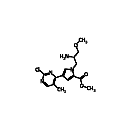 COC[C@H](N)Cn1cc(-c2nc(Cl)ncc2C)cc1C(=O)OC